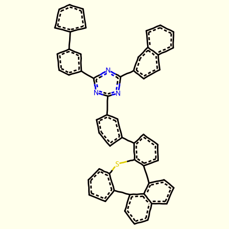 c1ccc(-c2cccc(-c3nc(-c4cccc(-c5cccc6c5Sc5ccccc5-c5cccc7cccc-6c57)c4)nc(-c4ccc5ccccc5c4)n3)c2)cc1